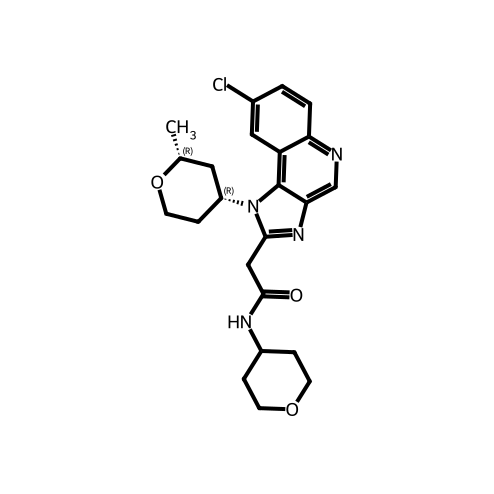 C[C@@H]1C[C@H](n2c(CC(=O)NC3CCOCC3)nc3cnc4ccc(Cl)cc4c32)CCO1